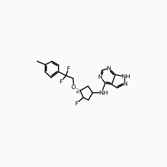 Cc1ccc(C(F)(F)CO[C@@H]2CC(Nc3ncnc4[nH]ncc34)CC2F)cc1